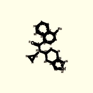 O=C(c1ccc(F)c2ccccc12)N(C1CC1)C1CCc2n[nH]cc2C1